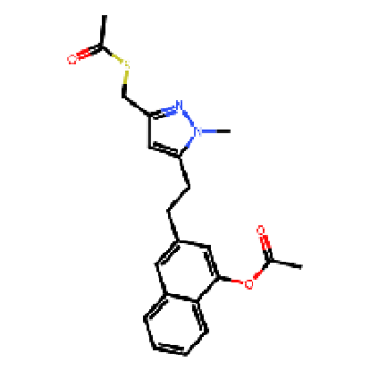 CC(=O)Oc1cc(CCc2cc(CSC(C)=O)nn2C)cc2ccccc12